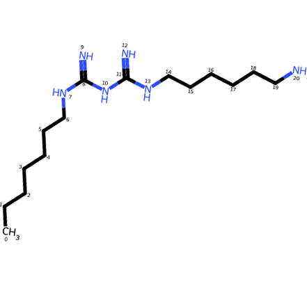 CCCCCCCNC(=N)NC(=N)NCCCCCCN